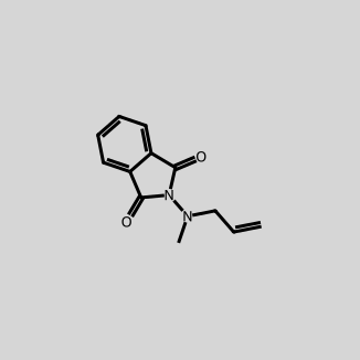 C=CCN(C)N1C(=O)c2ccccc2C1=O